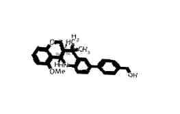 COc1cccc2c1[C@H]1Nc3ccc(-c4ccc(CO)cc4)cc3C(C)(C)[C@@H]1CO2